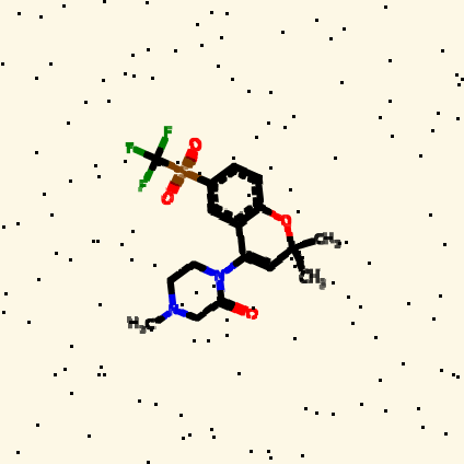 CN1CCN(C2=CC(C)(C)Oc3ccc(S(=O)(=O)C(F)(F)F)cc32)C(=O)C1